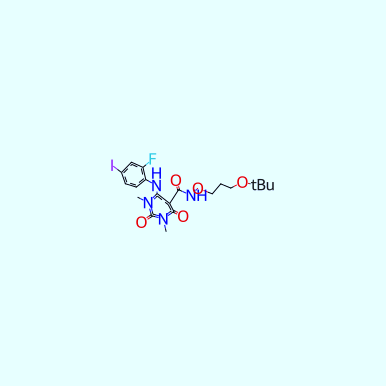 Cn1c(Nc2ccc(I)cc2F)c(C(=O)NOCCCOC(C)(C)C)c(=O)n(C)c1=O